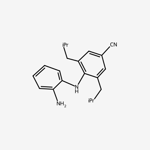 CC(C)Cc1cc(C#N)cc(CC(C)C)c1Nc1ccccc1N